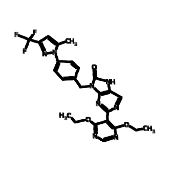 CCOc1ncnc(OCC)c1-c1ncc2[nH]c(=O)n(Cc3ccc(-n4nc(C(F)(F)F)cc4C)cc3)c2n1